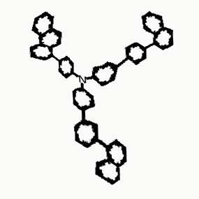 c1cc(-c2ccc(N(c3ccc(-c4ccc(-c5cccc6ccccc56)cc4)cc3)c3ccc(-c4cccc5c4ccc4ccccc45)cc3)cc2)cc(-c2cccc3ccccc23)c1